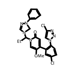 CCC(N1C=NN(c2ccccc2)C1)n1cc(OC)c(-c2cc(Cl)ccc2-n2cc(Cl)nn2)cc1=O